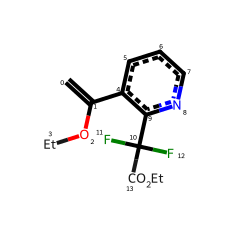 C=C(OCC)c1cccnc1C(F)(F)C(=O)OCC